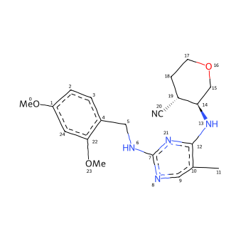 COc1ccc(CNc2ncc(C)c(N[C@@H]3COCC[C@H]3C#N)n2)c(OC)c1